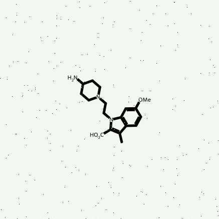 COc1ccc2c(C)c(C(=O)O)n(CCN3CCC(N)CC3)c2c1